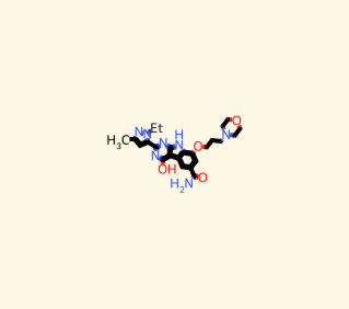 CCn1nc(C)cc1-c1nc(O)c2c(n1)[nH]c1c(OCCCN3CCOCC3)cc(C(N)=O)cc12